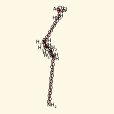 CC(=O)N1c2ccc(-c3ccc(C(=O)NCCOCCOCCOCCOCCOCCOCCOCCOCCNC(=O)c4cc(NC(=O)c5nc(C(N)CCNC(=O)c6cc(Nc7nc(NCCOCCOCCOCCOCCOCCOCCOCCOCCOCCOCCOCCOCCOCCOCCOCCN)cn7C)cn6C)cn5C)cn4C)cc3)cc2[C@H](Nc2ccc(Cl)cc2)C[C@@H]1C